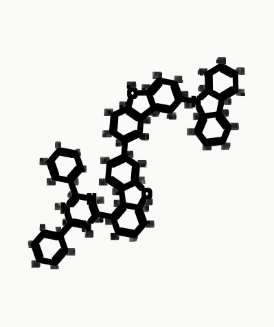 c1ccc(-c2nc(-c3ccccc3)nc(-c3cccc4oc5cc(-c6ccc7oc8ccc(-n9c%10ccccc%10c%10ccccc%109)cc8c7c6)ccc5c34)n2)cc1